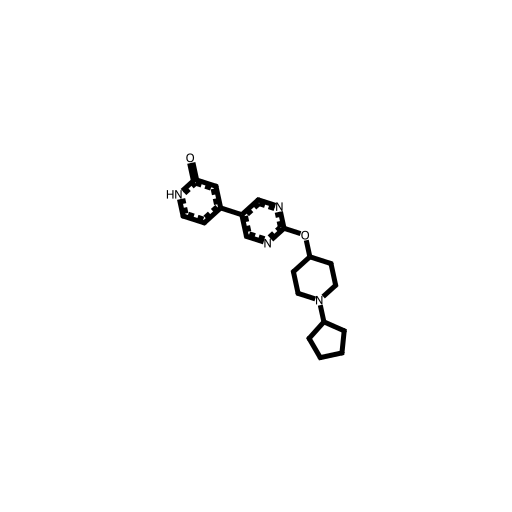 O=c1cc(-c2cnc(OC3CCN(C4CCCC4)CC3)nc2)cc[nH]1